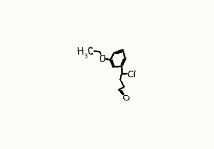 CCOc1cccc(C(Cl)CCC=O)c1